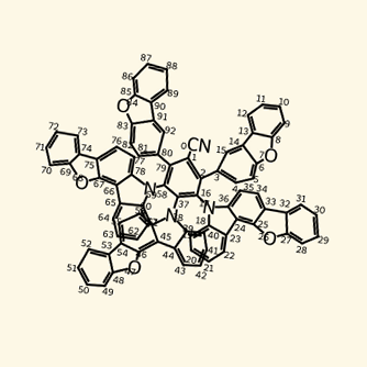 N#Cc1c(-c2ccc3oc4ccccc4c3c2)c(-n2c3ccccc3c3c4oc5ccccc5c4ccc32)c(-n2c3ccccc3c3c4oc5ccccc5c4ccc32)c(-n2c3ccccc3c3c4oc5ccccc5c4ccc32)c1-c1ccc2oc3ccccc3c2c1